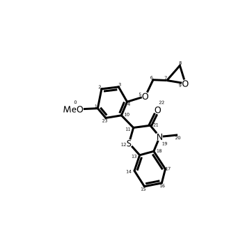 COc1ccc(OCC2CO2)c(C2Sc3ccccc3N(C)C2=O)c1